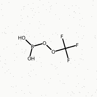 OB(O)OOC(F)(F)F